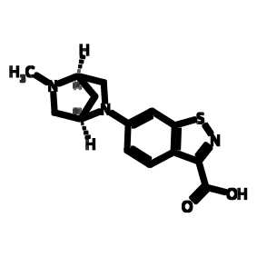 CN1C[C@H]2C[C@@H]1CN2c1ccc2c(C(=O)O)nsc2c1